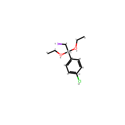 CCO[Si](CI)(OCC)c1ccc(Cl)cc1